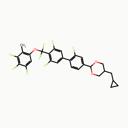 Cc1c(OC(F)(F)c2c(F)cc(-c3ccc(C4OCC(CC5CC5)CO4)cc3F)cc2F)cc(F)c(F)c1F